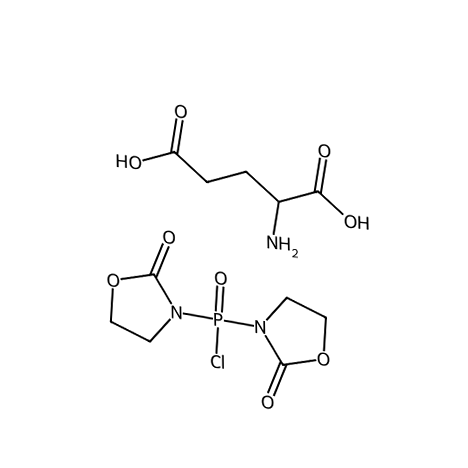 NC(CCC(=O)O)C(=O)O.O=C1OCCN1P(=O)(Cl)N1CCOC1=O